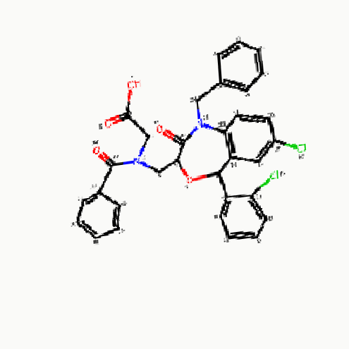 O=C(O)CN(CC1OC(c2ccccc2Cl)c2cc(Cl)ccc2N(Cc2ccccc2)C1=O)C(=O)c1ccccc1